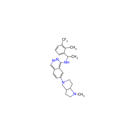 Cc1c(C(C)Nc2nncc3ccc(N4CCC5C(CCN5C)C4)cc23)cccc1C(F)(F)F